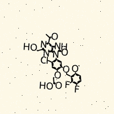 COc1ccc(F)c(F)c1COc1cc(-n2c(=O)[nH]c3c(C(C)=O)nc(CO)nc32)c(Cl)cc1OCC(=O)O